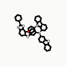 c1ccc(-c2nc3ccc4oc5cc(N(c6ccc7c(c6)oc6ccccc67)c6cccc7c8ccccc8n(-c8ccccc8)c67)ccc5c4c3o2)cc1